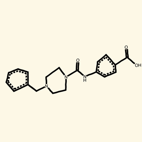 O=C(O)c1ccc(NC(=O)N2CCN(Cc3ccccc3)CC2)cc1